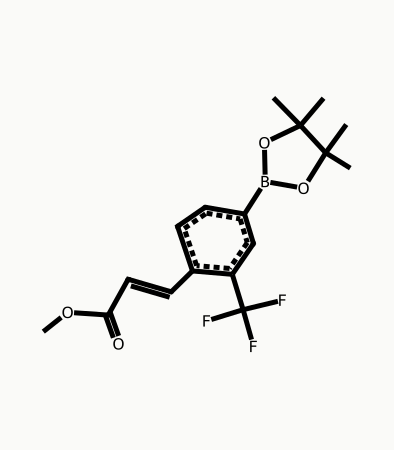 COC(=O)C=Cc1ccc(B2OC(C)(C)C(C)(C)O2)cc1C(F)(F)F